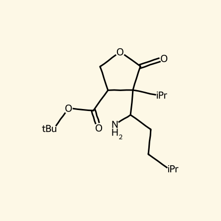 CC(C)CCC(N)C1(C(C)C)C(=O)OCC1C(=O)OC(C)(C)C